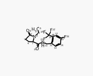 CCN1C(=O)CCC1C(=O)NCc1ccc(F)cc1C(F)(F)F